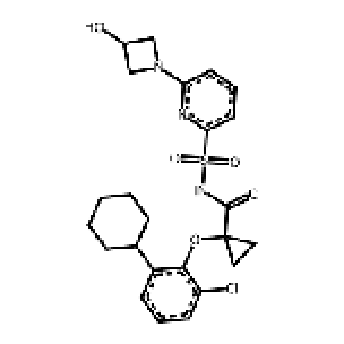 O=C(NS(=O)(=O)c1cccc(N2CC(O)C2)n1)C1(Oc2c(Cl)cccc2C2CCCCC2)CC1